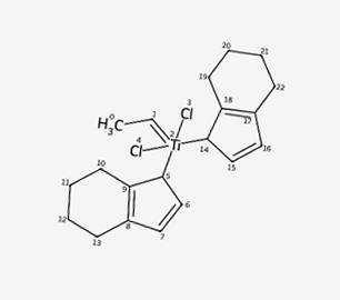 C[CH]=[Ti]([Cl])([Cl])([CH]1C=CC2=C1CCCC2)[CH]1C=CC2=C1CCCC2